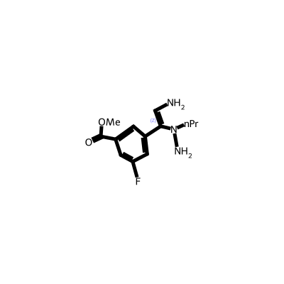 CCCN(N)/C(=C\N)c1cc(F)cc(C(=O)OC)c1